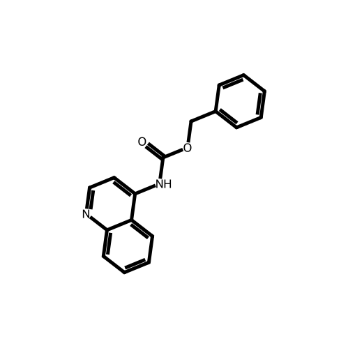 O=C(Nc1ccnc2ccccc12)OCc1ccccc1